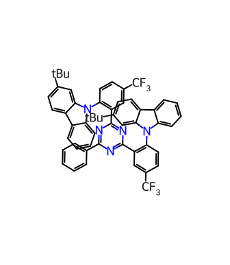 CC(C)(C)c1ccc2c3ccccc3n(-c3ccc(C(F)(F)F)cc3-c3nc(-c4ccccc4)nc(-c4cc(C(F)(F)F)ccc4-n4c5ccccc5c5ccc(C(C)(C)C)cc54)n3)c2c1